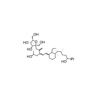 C=C1/C(=C\C=C2CCC[C@@]3(C)C2CC[C@@H]3[C@H](C)CCC(O)C(C)C)C[C@@H](O)C[C@@H]1[C@@]1(CO)O[C@H](CO)[C@@H](O)[C@@H]1O